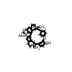 COc1cc2c3cc1C1=C4OCOC4CC4=C1[C@H](Cc1ccc(cc1)Oc1cc(ccc1O)C[C@H]3N(C)CC2)N(C)CC4